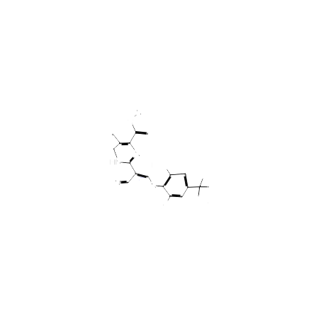 Cc1cc(C(F)(C(F)(F)F)C(F)(F)F)cc(C)c1N/C=C(\C=N)C1=NC(C(=O)ON)=C(Cl)CN1